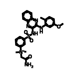 COc1ccc(C)c(Nc2nc3ccccc3nc2NS(=O)(=O)c2cccc([N+](C)(C)CC(N)=O)c2)c1